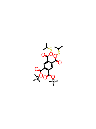 CC(C)SOC(=O)c1cc(C(=O)O[Si](C)(C)C)c(C(=O)O[Si](C)(C)C)cc1C(=O)OSC(C)C